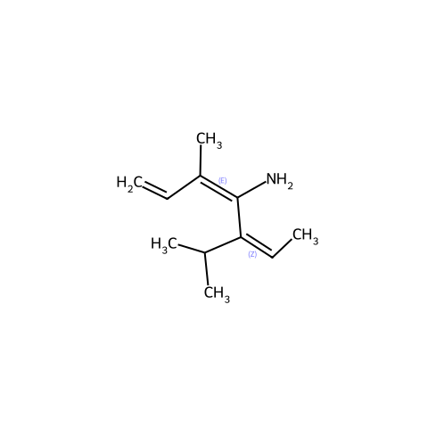 C=C/C(C)=C(N)\C(=C/C)C(C)C